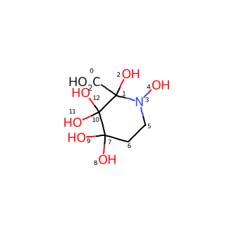 O=C(O)C1(O)N(O)CCC(O)(O)C1(O)O